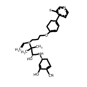 C=CN(CCCOC1=CC=C(c2ccncc2F)CC1)C(C)(C)[C@@H](O)N[C@@H]1C=C(O)C(C#N)=CC1